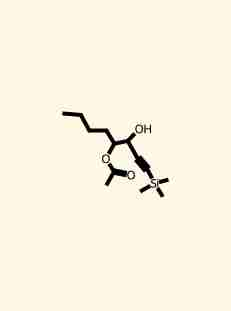 CCCCC(OC(C)=O)C(O)C#C[Si](C)(C)C